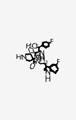 NC(C(=O)NC1(C(=O)NCCc2c[nH]c3ccc(F)cc23)CCNCC1)C(O)c1ccc(F)cc1